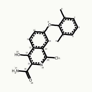 Cc1cccc(C)c1Oc1ccc2c(O)c(C(N)=O)nc(Cl)c2c1